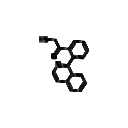 O=C(CS)c1ccccc1-c1nccc2ccccc12